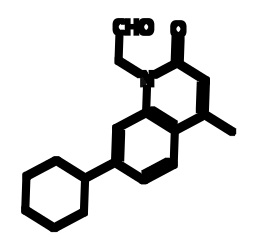 Cc1cc(=O)n(CC=O)c2cc(C3CCCCC3)ccc12